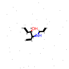 C=CCN[C](C=C)C(O)C=C